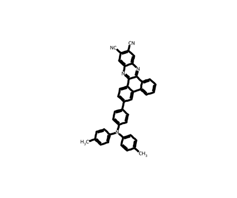 Cc1ccc(N(c2ccc(C)cc2)c2ccc(-c3ccc4c(c3)c3ccccc3c3nc5cc(C#N)c(C#N)cc5nc43)cc2)cc1